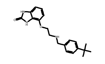 CC(C)(C)c1ccc(CNCCOc2cccc3[nH]c(=O)[nH]c23)cc1